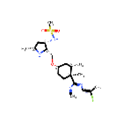 C=N/C(=N\C=C(/C)F)[C@@]1(C)CC[C@H](OC[C@@H]2N[C@H](C)C[C@@H]2NS(C)(=O)=O)C[C@@H]1C